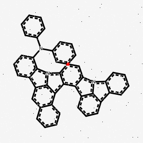 c1ccc(N(c2ccccc2)c2cccc3c4cc5ccccc5c5c6c7c8cccc9c%10ccccc%10n(c7cnc6n(c23)c45)c98)cc1